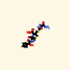 NC(=O)c1nnc(SCC2=C(C(=O)O)N3C(=O)C(NC(=O)C(O)c4ccccc4)[C@@H]3SC2)o1